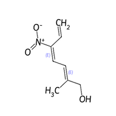 C=C/C(=C\C=C(/C)CO)[N+](=O)[O-]